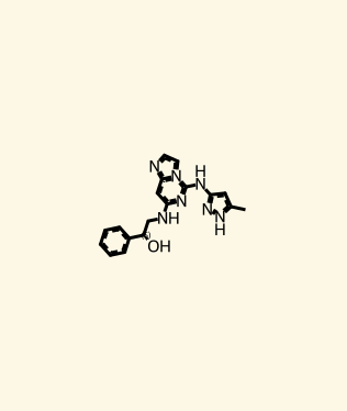 Cc1cc(Nc2nc(NC[C@@H](O)c3ccccc3)cc3nccn23)n[nH]1